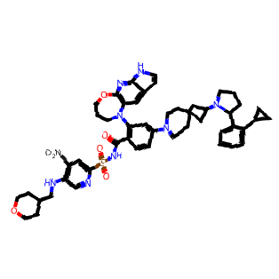 O=C(NS(=O)(=O)c1cc([N+](=O)[O-])c(NCC2CCOCC2)cn1)c1ccc(N2CCC3(CC2)CC(N2CCCC2c2ccccc2C2CC2)C3)cc1N1CCCOc2nc3[nH]ccc3cc21